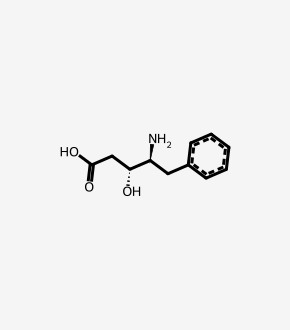 N[C@@H](Cc1ccccc1)[C@H](O)CC(=O)O